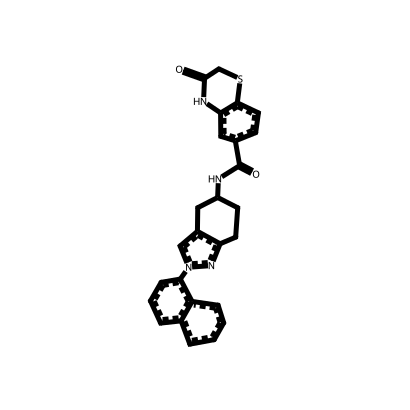 O=C1CSc2ccc(C(=O)NC3CCc4nn(-c5cccc6ccccc56)cc4C3)cc2N1